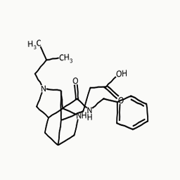 CC(C)CN1CC2CC3CNC2(C(=O)NCc2ccccc2)C1C3CCC(=O)O